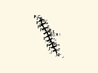 CCO.NC(F)(F)C(F)(F)C(F)(F)C(F)(F)C(F)(F)C(F)(F)C(F)(F)C(F)(F)C(F)(F)C(F)(F)F